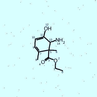 CCOC(=O)C1(C)C(C)=CC=C(O)C1N